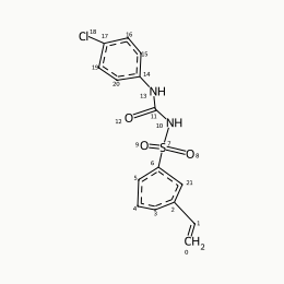 C=Cc1cccc(S(=O)(=O)NC(=O)Nc2ccc(Cl)cc2)c1